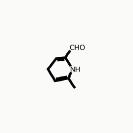 CC1=CCC=C(C=O)N1